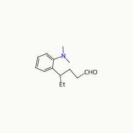 CCC(CCC=O)c1ccccc1N(C)C